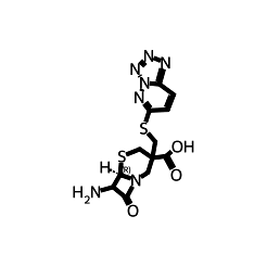 NC1C(=O)N2CC(CSc3ccc4nnnn4n3)(C(=O)O)CS[C@H]12